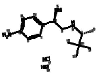 C[C@@H](NC[C@H](O)c1ccc(N)nc1)C(C)(C)C.Cl.Cl